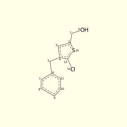 OCc1cc(Cc2ccccc2)c(Cl)s1